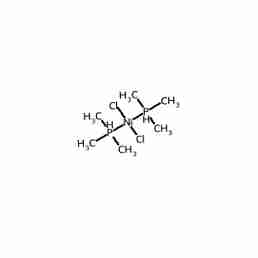 C[PH](C)(C)[Ni]([Cl])([Cl])[PH](C)(C)C